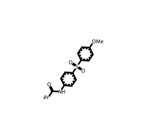 COc1ccc(S(=O)(=O)c2ccc(NC(=O)C(C)C)cc2)cc1